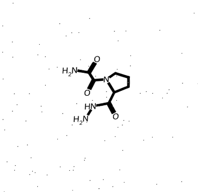 NNC(=O)C1CCCN1C(=O)C(N)=O